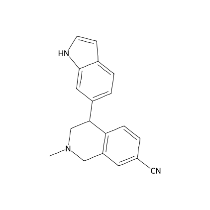 CN1Cc2cc(C#N)ccc2C(c2ccc3cc[nH]c3c2)C1